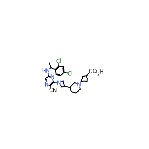 CC(Nc1cnc(C#N)c(N2CC(C3CCCN(C4CC(C(=O)O)C4)C3)C2)n1)c1ccc(Cl)cc1Cl